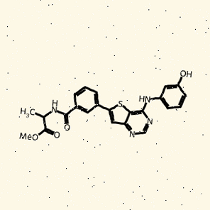 COC(=O)C(C)NC(=O)c1cccc(-c2cc3ncnc(Nc4cccc(O)c4)c3s2)c1